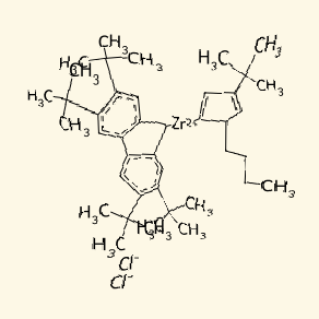 CCCCC1C=C(C(C)(C)C)C=[C]1[Zr+2][CH]1c2cc(C(C)(C)C)c(C(C)(C)C)cc2-c2cc(C(C)(C)C)c(C(C)(C)C)cc21.[Cl-].[Cl-]